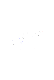 CCOC(=O)CC(NCCN(C)c1ccc2c(c1)OCO2)c1cc(C)nc(-n2ccnc2)n1.O=C(O)C(F)(F)F